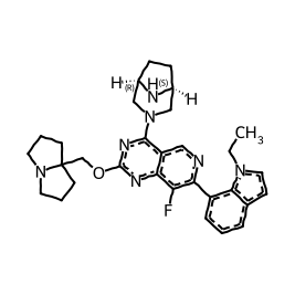 CCn1ccc2cccc(-c3ncc4c(N5C[C@H]6CC[C@@H](C5)N6)nc(OCC56CCCN5CCC6)nc4c3F)c21